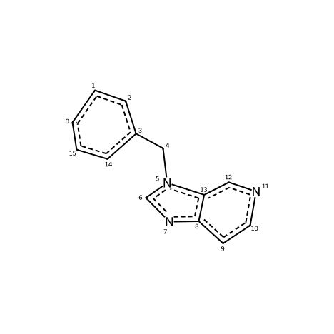 [c]1ccc(Cn2cnc3ccncc32)cc1